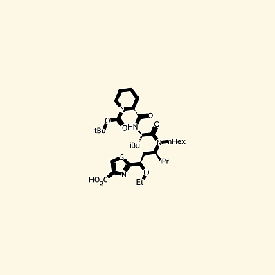 CCCCCCN(C(=O)[C@@H](NC(=O)[C@H]1CCCCN1C(=O)OC(C)(C)C)[C@@H](C)CC)[C@H](C[C@@H](OCC)c1nc(C(=O)O)cs1)C(C)C